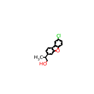 CC(CO)c1ccc2c(c1)oc1ccc(Cl)cc12